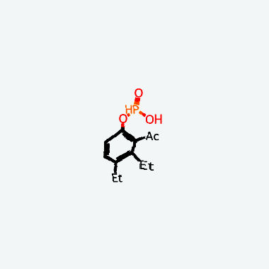 CCc1ccc(O[PH](=O)O)c(C(C)=O)c1CC